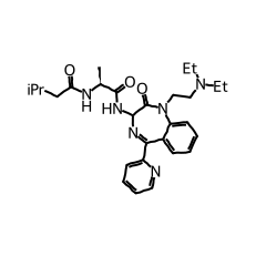 CCN(CC)CCN1C(=O)C(NC(=O)[C@H](C)NC(=O)CC(C)C)N=C(c2ccccn2)c2ccccc21